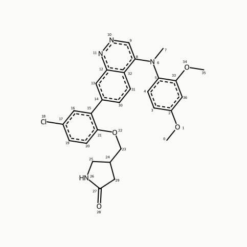 COc1ccc(N(C)c2cnnc3cc(-c4cc(Cl)ccc4OCC4CNC(=O)C4)ccc23)c(OC)c1